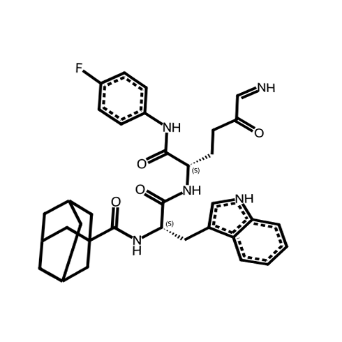 N=CC(=O)CC[C@H](NC(=O)[C@H](Cc1c[nH]c2ccccc12)NC(=O)C12CC3CC(CC(C3)C1)C2)C(=O)Nc1ccc(F)cc1